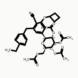 CCc1ccc(Cc2cc([C@@H]3O[C@H](COC(C)=O)[C@@H](OC(C)=O)[C@H](OC(C)=O)[C@H]3OC(C)=O)cc(OC3CCC3)c2C#N)cc1